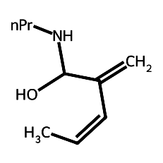 C=C(/C=C\C)C(O)NCCC